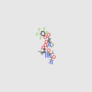 CC[C@H](C)[C@@H]([C@@H](CC(=O)N1CCC[C@H]1[C@H](OC)[C@@H](C)C(=O)Oc1c(F)c(F)c(F)c(F)c1F)OC)N(C)C(=O)[C@@H](NC(=O)C(C)(C)N(C)C)C(C)C